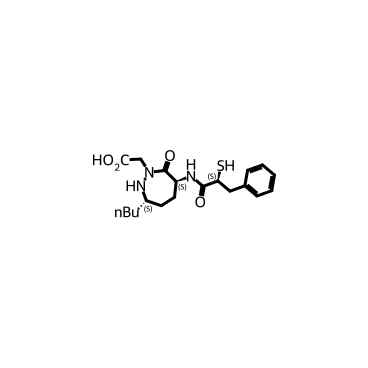 CCCC[C@H]1CC[C@H](NC(=O)[C@@H](S)Cc2ccccc2)C(=O)N(CC(=O)O)N1